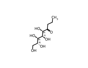 CCCC(=O)[C@H](O)[C@@H](O)[C@H](O)[C@H](O)CO